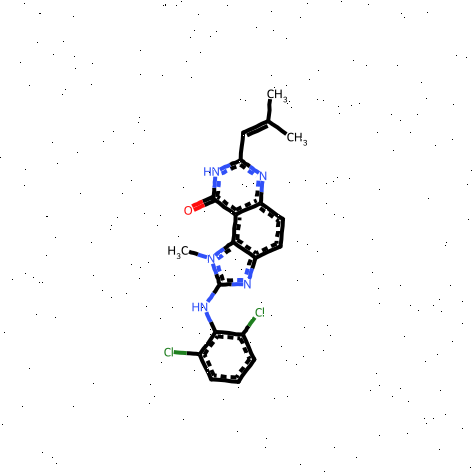 CC(C)=Cc1nc2ccc3nc(Nc4c(Cl)cccc4Cl)n(C)c3c2c(=O)[nH]1